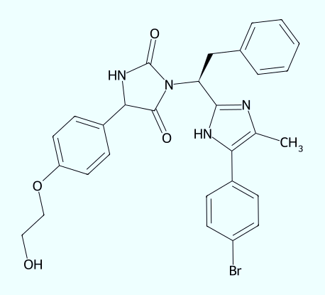 Cc1nc([C@H](Cc2ccccc2)N2C(=O)NC(c3ccc(OCCO)cc3)C2=O)[nH]c1-c1ccc(Br)cc1